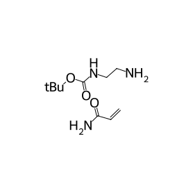 C=CC(N)=O.CC(C)(C)OC(=O)NCCN